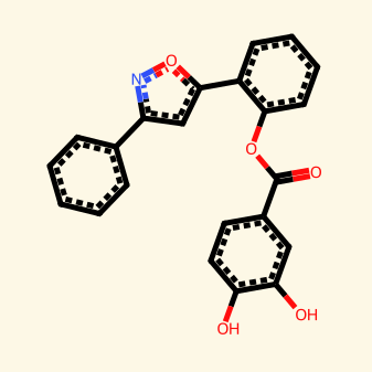 O=C(Oc1ccccc1-c1cc(-c2ccccc2)no1)c1ccc(O)c(O)c1